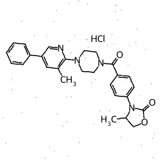 Cc1cc(-c2ccccc2)cnc1N1CCN(C(=O)c2ccc(N3C(=O)OCC3C)cc2)CC1.Cl